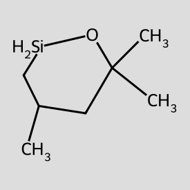 CC1C[SiH2]OC(C)(C)C1